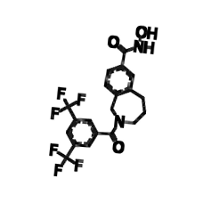 O=C(NO)c1ccc2c(c1)CCCN(C(=O)c1cc(C(F)(F)F)cc(C(F)(F)F)c1)C2